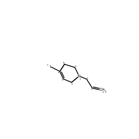 C=CCN1CC=C(I)CC1